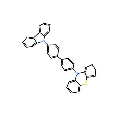 C1=C2Sc3ccccc3N(c3ccc(-c4ccc(-n5c6ccccc6c6ccccc65)cc4)cc3)C2=CCC1